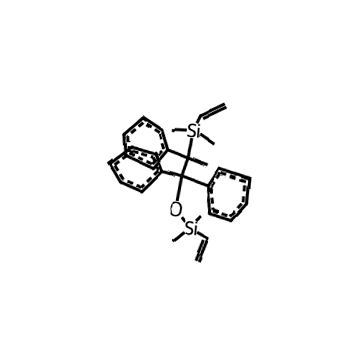 C=C[Si](C)(C)OC(c1ccccc1)(c1ccccc1)C(C)(c1ccccc1)[Si](C)(C)C=C